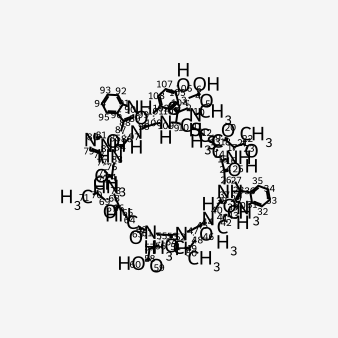 CN[C@@H](CC(=O)O)C(=O)C1CSCSCC(N[C@H](C(C)=O)[C@@H](C)O)C(=O)[C@H](Cc2c[nH]c3ccccc23)NC(=O)[C@H](C(C)C)NC(=O)[C@H](CC(C)C)NC(=O)[C@H](CCC(=O)O)NC(=O)CNC(=O)[C@H](CC(C)C)NC(=O)[C@H](Cc2cnc[nH]2)NC(=O)[C@H](Cc2c[nH]c3ccccc23)NC(=O)[C@H](Cc2ccc(O)cc2)N1